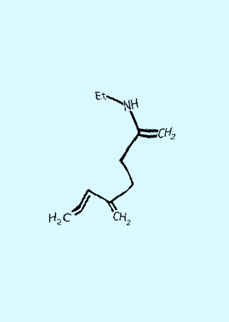 C=CC(=C)CCC(=C)NCC